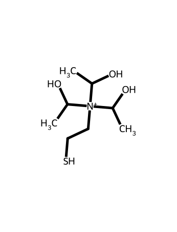 CC(O)[N+](CCS)(C(C)O)C(C)O